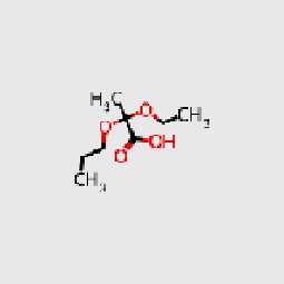 CCCOC(C)(OCC)C(=O)O